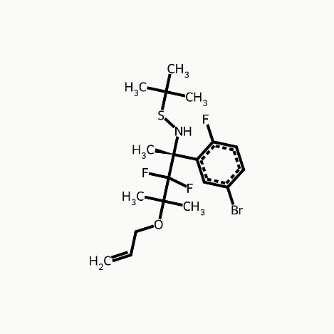 C=CCOC(C)(C)C(F)(F)[C@](C)(NSC(C)(C)C)c1cc(Br)ccc1F